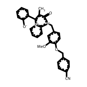 COc1cc(Cn2c(=O)c(C)c(-c3ccccc3[O-])[n+]3ccccc23)ccc1OCc1ccc(C#N)cc1